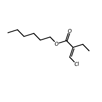 CCCCCCOC(=O)C(=CCl)CC